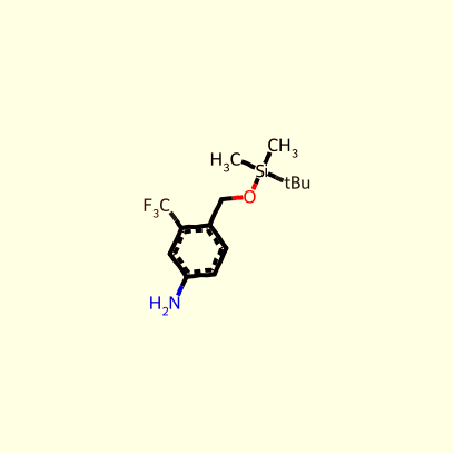 CC(C)(C)[Si](C)(C)OCc1ccc(N)cc1C(F)(F)F